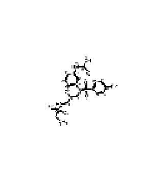 CCS(=O)(=O)NCC1CN(S(=O)(=O)c2ccc(F)cc2)c2cc(NC(=O)O)ccc2O1